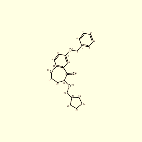 O=C1c2cc(OCc3ccccc3)ccc2OCCC1OCC1CCCC1